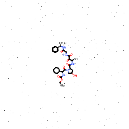 CCCC(NC(=O)C1C[C@@H](O)CN1C(=O)[C@@H](NC(=O)OCC(C)(C)C)C1CCCCC1)C(=O)C(=O)NCC(=O)N[C@H](C(=O)O)c1ccccc1